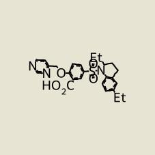 CCc1ccc2c(c1)CCC(CC)N2S(=O)(=O)c1ccc(OCc2ccncn2)c(C(=O)O)c1